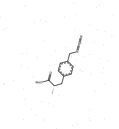 COC(=O)[C@@H](C)Cc1ccc(CN=[N+]=[N-])cc1